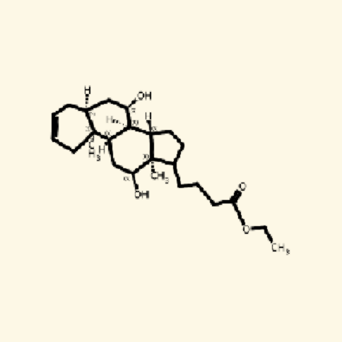 CCOC(=O)CCCC1CC[C@H]2[C@@H]3[C@H](O)C[C@@H]4CC=CC[C@]4(C)[C@H]3C[C@H](O)[C@]12C